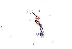 CCCCCCCCS(=O)(=O)Oc1cccc2c1COC(c1csc(C3CCN(C(=O)Cn4nc(C(F)(F)F)cc4C)CC3)n1)OC2